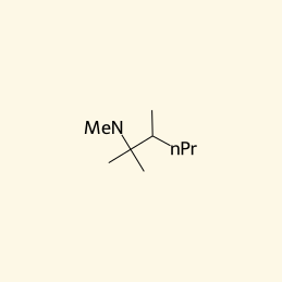 CCCC(C)C(C)(C)NC